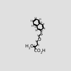 C=C(CCOCSc1ccc2ccccc2c1)C(=O)O